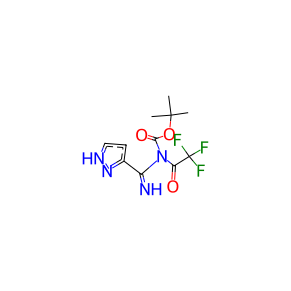 CC(C)(C)OC(=O)N(C(=N)c1cc[nH]n1)C(=O)C(F)(F)F